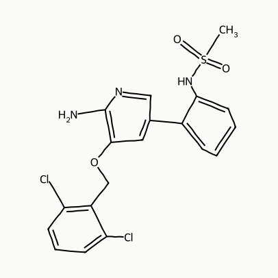 CS(=O)(=O)Nc1ccccc1-c1cnc(N)c(OCc2c(Cl)cccc2Cl)c1